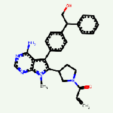 C=CC(=O)N1CCC(c2c(-c3ccc(C(CO)c4ccccc4)cc3)c3c(N)ncnc3n2C)C1